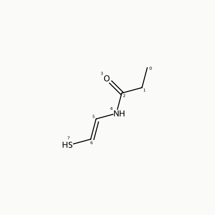 CCC(=O)NC=CS